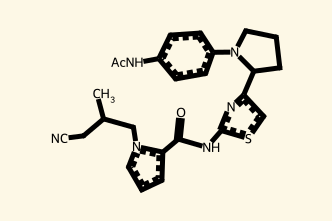 CC(=O)Nc1ccc(N2CCCC2c2csc(NC(=O)c3cccn3CC(C)CC#N)n2)cc1